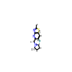 Cc1nc2nc([C@@H](C)N3CCC[C@@H]3C)c(F)cc2s1